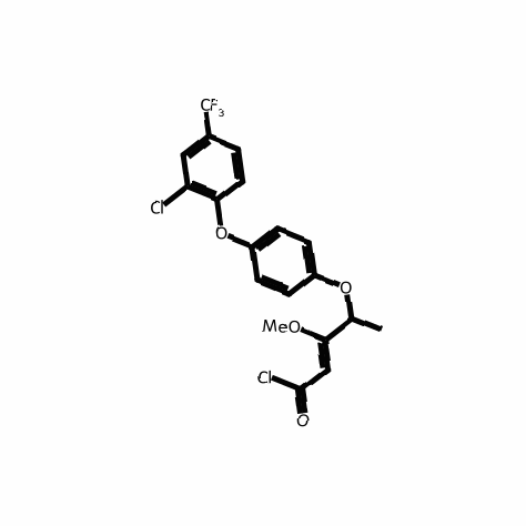 CO/C(=C\C(=O)Cl)C(C)Oc1ccc(Oc2ccc(C(F)(F)F)cc2Cl)cc1